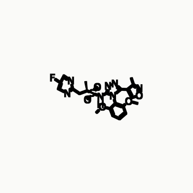 COc1cccc(OC)c1-n1c(NS(=O)(=O)[C@H](C)Cc2ncc(F)cn2)nnc1-c1conc1C